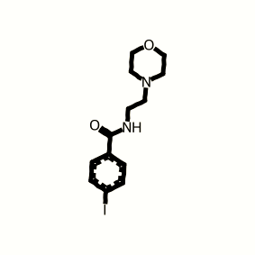 O=C(NCCN1CCOCC1)c1ccc(I)cc1